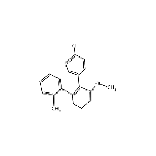 COC1=CC[CH]C(c2ccccc2C)=C1c1ccc(Cl)cc1